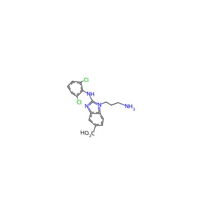 NCCCn1c(Nc2c(Cl)cccc2Cl)nc2cc(C(=O)O)ccc21